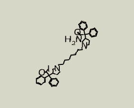 NC(=O)C(c1ccccc1)(c1ccccc1)C1CCN(CCCCCCCCN2CCC(C(C(=O)I)(c3ccccc3)C3C=CC=CC3)C2)C1